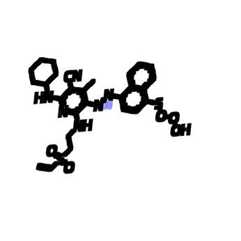 C=CS(=O)(=O)CCNc1nc(NC2CCCCC2)c(C#N)c(C)c1/N=N/c1ccc(SOOO)c2ccccc12